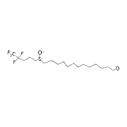 [O]CCCCCCCCCCCCC[S+]([O-])CCCC(F)(F)C(F)(F)F